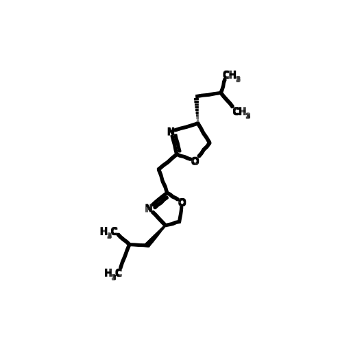 CC(C)C[C@@H]1COC(CC2=N[C@H](CC(C)C)CO2)=N1